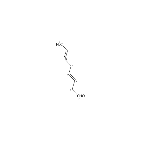 CC=CCC=CCC=O